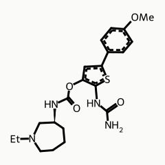 CCN1CCCC[C@H](NC(=O)Oc2cc(-c3ccc(OC)cc3)sc2NC(N)=O)C1